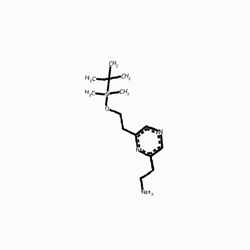 CC(C)(C)[Si](C)(C)OCCc1cncc(CCN)n1